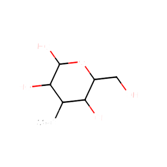 COC1C(O)C(O)OC(CO)C1O